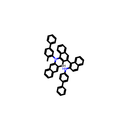 Cc1ccc(-c2ccccc2)cc1N1c2cc3ccccc3cc2Bc2c(-c3c(Nc4ccc(-c5ccccc5)cc4)ccc4ccccc34)cc3ccccc3c21